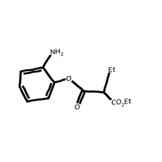 CCOC(=O)C(CC)C(=O)Oc1ccccc1N